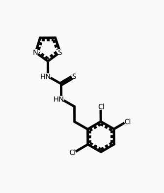 S=C(NCCc1c(Cl)ccc(Cl)c1Cl)Nc1nccs1